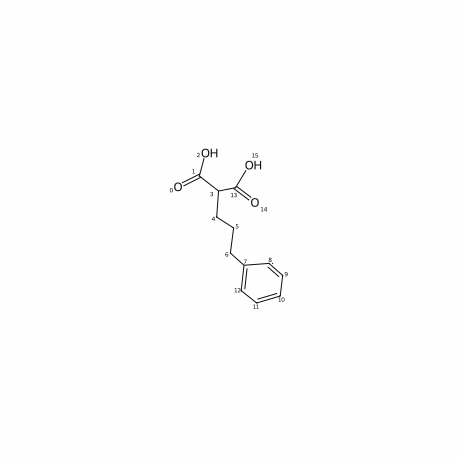 O=C(O)C(CCCc1[c]cccc1)C(=O)O